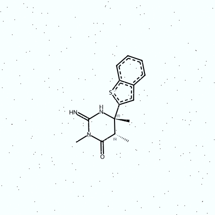 C[C@@H]1C(=O)N(C)C(=N)N[C@]1(C)c1cc2ccccc2s1